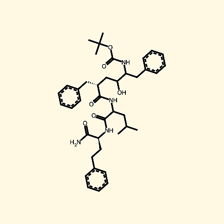 CC(C)CC(NC(=O)[C@H](Cc1ccccc1)CC(O)C(Cc1ccccc1)NC(=O)OC(C)(C)C)C(=O)N[C@@H](CCc1ccccc1)C(N)=O